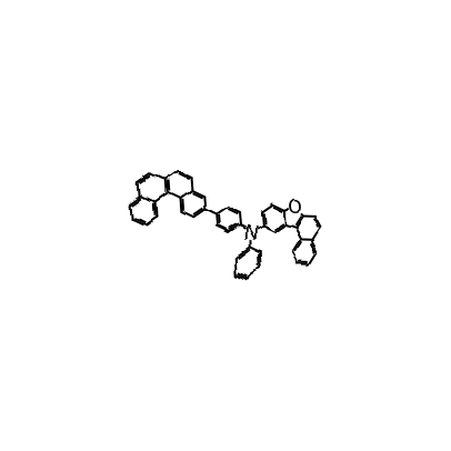 c1ccc(N(c2ccc(-c3ccc4c(ccc5ccc6ccccc6c54)c3)cc2)c2ccc3oc4ccc5ccccc5c4c3c2)cc1